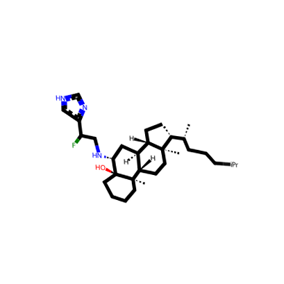 CC(C)CCC[C@@H](C)[C@H]1CC[C@H]2[C@@H]3C[C@@H](NCC(F)c4c[nH]cn4)[C@@]4(O)CCCC[C@]4(C)[C@H]3CC[C@]12C